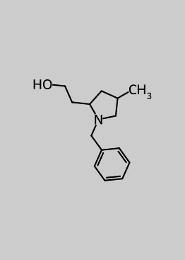 CC1CC(CCO)N(Cc2ccccc2)C1